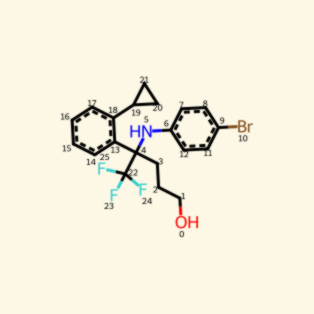 OCCCC(Nc1ccc(Br)cc1)(c1ccccc1C1CC1)C(F)(F)F